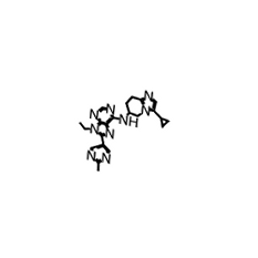 CCn1c(-c2cnc(C)nc2)nc2c(NC3CCc4ncc(C5CC5)n4C3)ncnc21